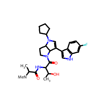 CNC(C)C(=O)NC(C(=O)N1CCC2C1C(c1c[nH]c3cc(F)ccc13)=CN2C1CCCC1)C(C)O